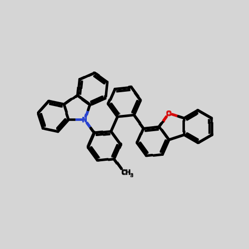 Cc1ccc(-n2c3ccccc3c3ccccc32)c(-c2ccccc2-c2cccc3c2oc2ccccc23)c1